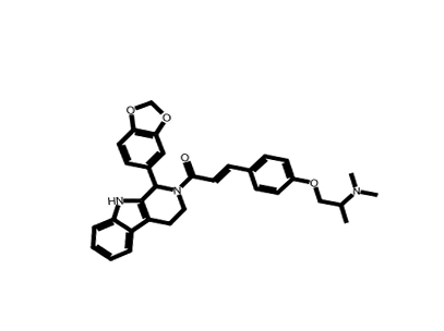 CC(COc1ccc(/C=C/C(=O)N2CCc3c([nH]c4ccccc34)C2c2ccc3c(c2)OCO3)cc1)N(C)C